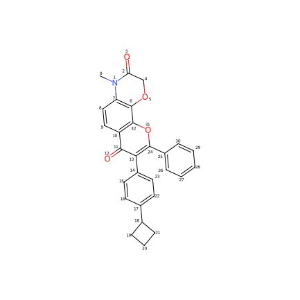 CN1C(=O)COc2c1ccc1c(=O)c(-c3ccc(C4CCC4)cc3)c(-c3ccccc3)oc21